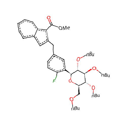 CCCCOC[C@H]1O[C@@H](c2cc(Cc3cc4cccccc-4c3C(=O)OC)ccc2F)[C@H](OCCCC)[C@@H](OCCCC)[C@@H]1OCCCC